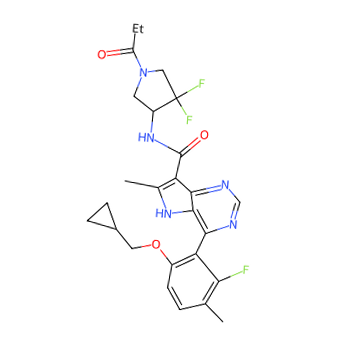 CCC(=O)N1CC(NC(=O)c2c(C)[nH]c3c(-c4c(OCC5CC5)ccc(C)c4F)ncnc23)C(F)(F)C1